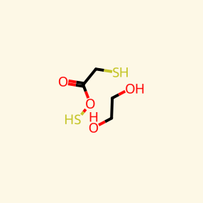 O=C(CS)OS.OCCO